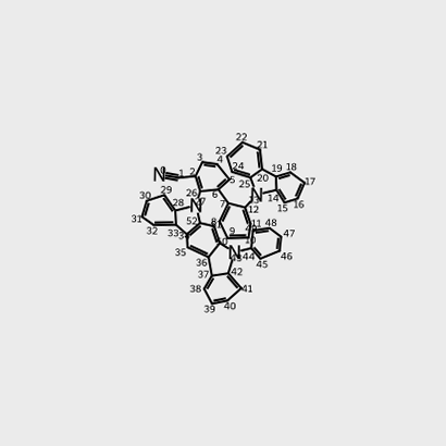 N#Cc1cccc(-c2ccccc2-n2c3ccccc3c3ccccc32)c1-n1c2ccccc2c2cc3c4ccccc4n(-c4ccccc4)c3cc21